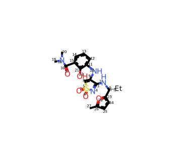 CC[C@@H](NC1=NS(=O)(=O)C=C1Nc1cccc(C(=O)N(C)C)c1O)c1ccc(C)o1